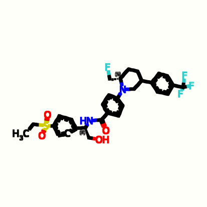 CCS(=O)(=O)c1ccc([C@H](CO)NC(=O)c2ccc(N3CC(c4ccc(C(F)(F)F)cc4)CC[C@H]3CF)cc2)cc1